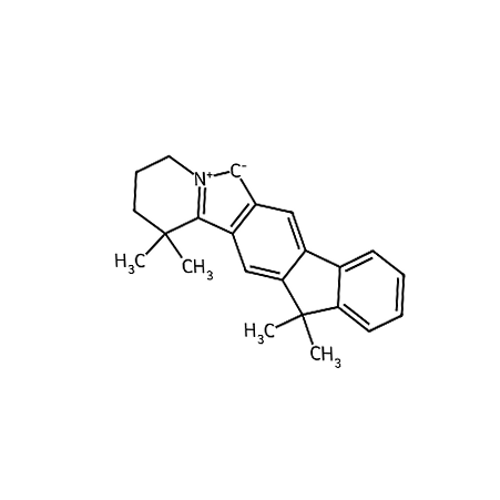 CC1(C)CCC[n+]2[cH-]c3cc4c(cc3c21)C(C)(C)c1ccccc1-4